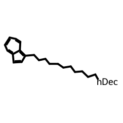 CCCCCCCCCCCCCCCCCCCCCc1ccc2cccccc1-2